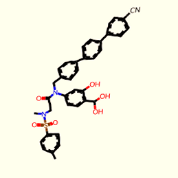 Cc1ccc(S(=O)(=O)N(C)CC(=O)N(Cc2ccc(-c3ccc(-c4ccc(C#N)cc4)cc3)cc2)c2ccc(C(O)O)c(O)c2)cc1